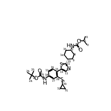 CC(C)OC(=O)N[C@H]1CC[C@H](c2ncc(-c3ccc(NC(=O)OC(C)(C)C)cc3SC3CC3)s2)CC1